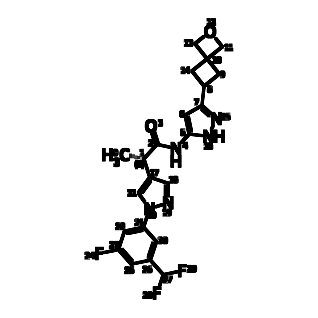 C[C@H](C(=O)Nc1cc(C2CC3(COC3)C2)n[nH]1)c1cnn(-c2cc(F)cc(C(F)F)c2)c1